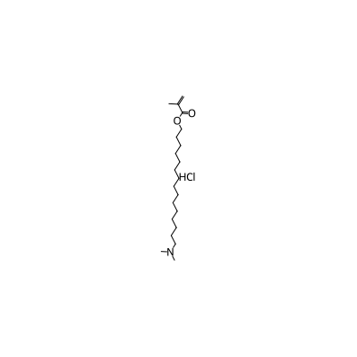 C=C(C)C(=O)OCCCCCCCCCCCCCCCN(C)C.Cl